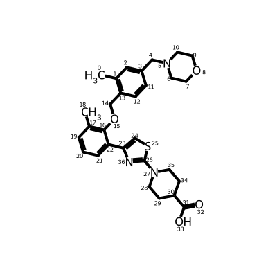 Cc1cc(CN2CCOCC2)ccc1COc1c(C)cccc1-c1csc(N2CCC(C(=O)O)CC2)n1